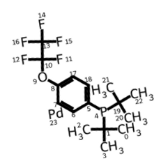 CC(C)(C)P(c1ccc(OC(F)(F)C(F)(F)F)cc1)C(C)(C)C.[Pd]